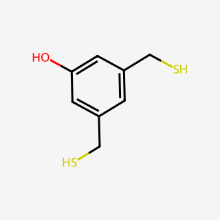 Oc1cc(CS)cc(CS)c1